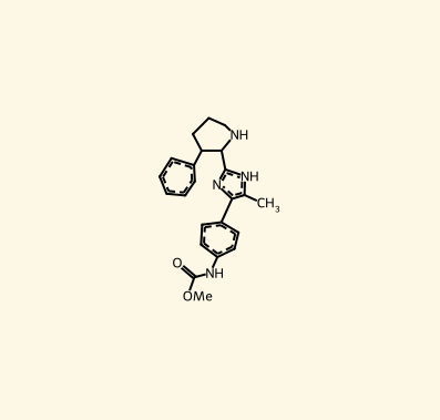 COC(=O)Nc1ccc(-c2nc(C3NCCCC3c3ccccc3)[nH]c2C)cc1